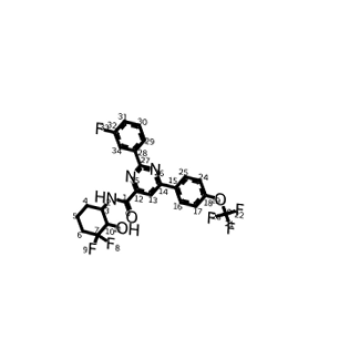 O=C(NC1CCCC(F)(F)C1O)c1cc(-c2ccc(OC(F)(F)F)cc2)nc(-c2cccc(F)c2)n1